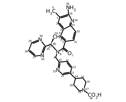 Cc1cc2cc(C(=O)N(Cc3ccc(C4CCN(C(=O)O)CC4)cn3)[C@H](C)c3ncccn3)ccc2nc1N